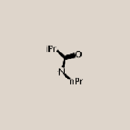 CCC[N]C(=O)C(C)C